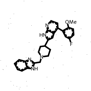 COc1ccc(F)cc1-c1ccnc2[nH]c(C3CCN(Cc4nc5ccccc5[nH]4)CC3)cc12